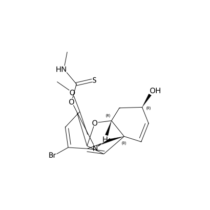 CNC(=S)ON1CC[C@]23C=C[C@H](O)C[C@H]2Oc2c(OC)cc(Br)c(c23)C1